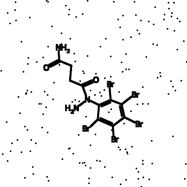 NC(=O)CCC(=O)N(N)c1c(Br)c(Br)c(Br)c(Br)c1Br